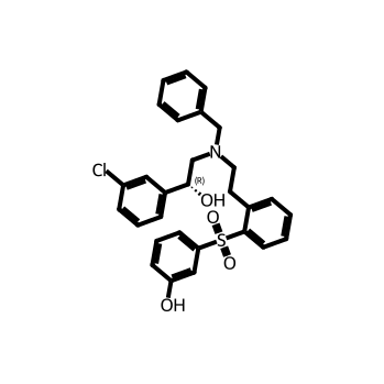 O=S(=O)(c1cccc(O)c1)c1ccccc1CCN(Cc1ccccc1)C[C@H](O)c1cccc(Cl)c1